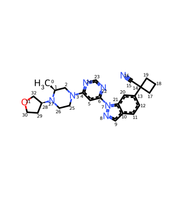 C[C@H]1CN(c2cc(-n3ncc4ccc(C5(C#N)CCC5)cc43)ncn2)CCN1[C@H]1CCOC1